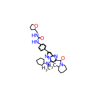 CC1CCCCCN1C(=O)c1cc(N(C)C2CCCCC2)n2nc(-c3ccc(NC(=O)NCC4CCCO4)cc3)cc2n1